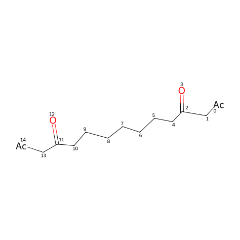 CC(=O)CC(=O)CCCCCCCC(=O)CC(C)=O